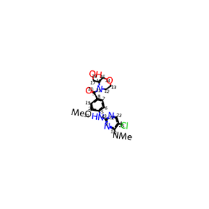 CNc1nc(Nc2ccc(C(=O)N3CCOCC3CO)cc2OC)ncc1Cl